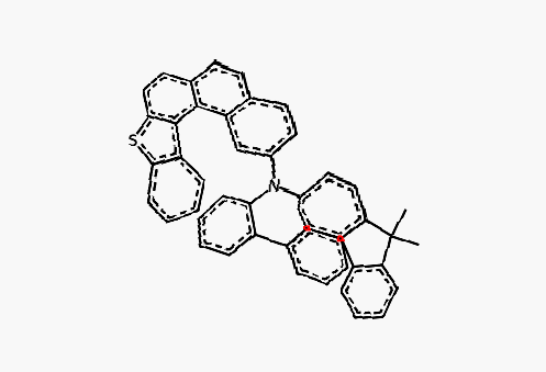 CC1(C)c2ccccc2-c2cc(N(c3ccc4ccc5ccc6sc7ccccc7c6c5c4c3)c3ccccc3-c3ccccc3)ccc21